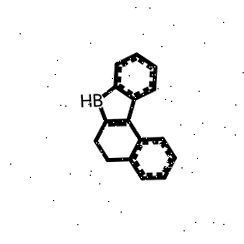 B1C2=C(c3ccccc31)c1ccccc1CC2